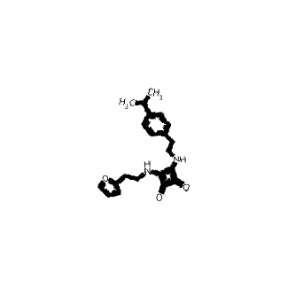 CC(C)c1ccc(CCNc2c(NCCc3ccco3)c(=O)c2=O)cc1